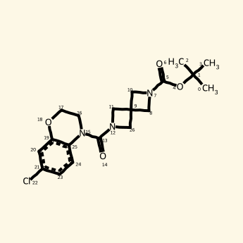 CC(C)(C)OC(=O)N1CC2(C1)CN(C(=O)N1CCOc3cc(Cl)ccc31)C2